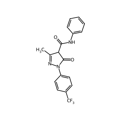 CC1=NN(c2ccc(C(F)(F)F)cc2)C(=O)C1C(=O)Nc1ccccc1